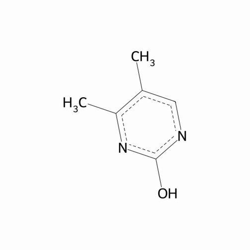 Cc1cnc(O)nc1C